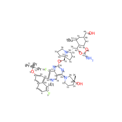 CCc1c(F)ccc2cc(O[Si](C(C)C)(C(C)C)C(C)C)cc(-c3ncc4c(N5CCC[C@@](C)(O)C5)nc(OC[C@@]56CCCN5[C@H](CC(OC(N)=O)C5CCC(CO)CC5C(C)(C)C)CC6)nc4c3F)c12